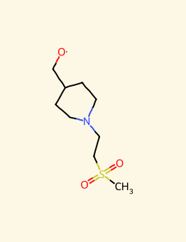 CS(=O)(=O)CCN1CCC(C[O])CC1